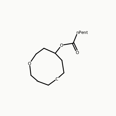 [CH2]CCCCC(=O)OC1CCCC[CH]COCC1